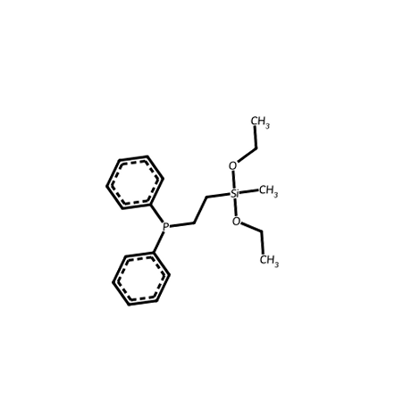 CCO[Si](C)(CCP(c1ccccc1)c1ccccc1)OCC